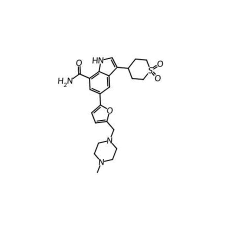 CN1CCN(Cc2ccc(-c3cc(C(N)=O)c4[nH]cc(C5CCS(=O)(=O)CC5)c4c3)o2)CC1